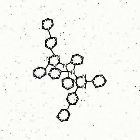 c1ccc(-c2ccc(-c3nc(-c4ccccc4)nc(N4c5ccccc5N(c5nc(-c6ccccc6)nc(-c6ccc(-c7ccccc7)cc6)n5)C4(c4ccccc4)c4ccccc4)n3)cc2)cc1